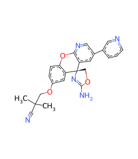 CC(C)(C#N)COc1ccc2c(c1)[C@]1(COC(N)=N1)c1cc(-c3cccnc3)cnc1O2